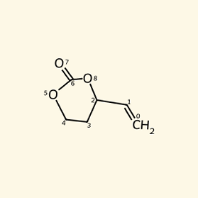 C=CC1CCOC(=O)O1